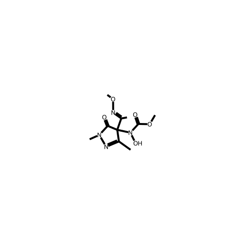 CON=C(C)C1(N(O)C(=O)OC)C(=O)N(C)N=C1C